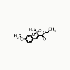 CCOC(=O)/C(=C/c1ccc(OC)cc1)S(C)(=O)=O